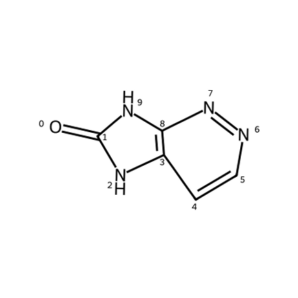 O=c1[nH]c2ccnnc2[nH]1